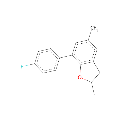 [CH2]C1Cc2cc(C(F)(F)F)cc(-c3ccc(F)cc3)c2O1